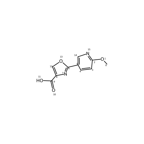 COc1ccc(-c2nc(C(=O)O)co2)cn1